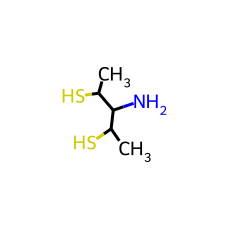 CC(S)C(N)C(C)S